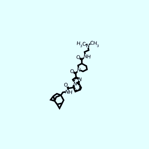 CN(C)CCNC(=O)C1CCCN(C(=O)c2cn3c(C(=O)NCC45CC6CC6C6(CC6C4)C5)cccc3n2)C1